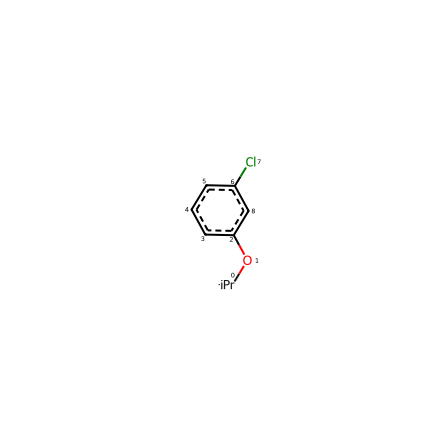 C[C](C)Oc1cccc(Cl)c1